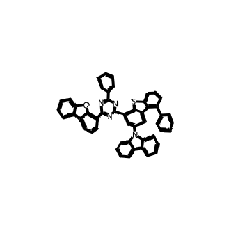 c1ccc(-c2nc(-c3cccc4c3oc3ccccc34)nc(-c3cc(-n4c5ccccc5c5ccccc54)cc4c3sc3cccc(-c5ccccc5)c34)n2)cc1